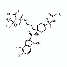 CC(=O)NS(=O)(=O)N1CCC(CCCNS(=O)(=O)N(C(=O)O)C(C)(C)C)(NC(=O)c2cc3c(Cl)c(Cl)ccc3n2C)CC1